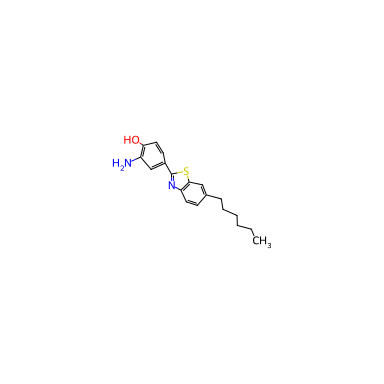 CCCCCCc1ccc2nc(-c3ccc(O)c(N)c3)sc2c1